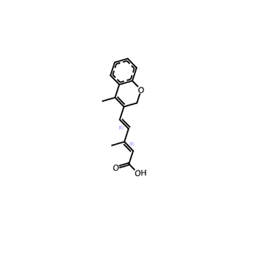 CC1=C(/C=C/C(C)=C/C(=O)O)COc2ccccc21